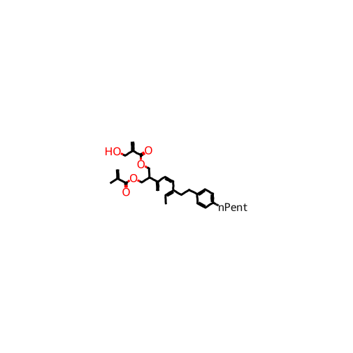 C=C(C)C(=O)OCC(COC(=O)C(=C)CO)C(=C)/C=C\C(=C\C)CCc1ccc(CCCCC)cc1